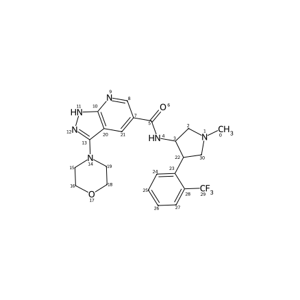 CN1CC(NC(=O)c2cnc3[nH]nc(N4CCOCC4)c3c2)C(c2ccccc2C(F)(F)F)C1